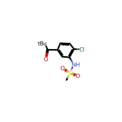 CC(C)(C)C(=O)c1ccc(Cl)c(NS(C)(=O)=O)c1